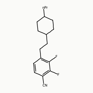 CCCC1CCC(CCc2ccc(C#N)c(F)c2F)CC1